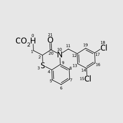 O=C(O)CC1Sc2ccccc2N(Cc2cc(Cl)cc(Cl)c2)C1=O